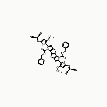 COc1cc(N=C(C#N)C#N)sc1-c1cc2sc3c(sc4cc(-c5sc(N=C(C#N)C#N)cc5OC)n(C(=O)OCc5ccccc5)c43)c2n1C(=O)OCc1ccccc1